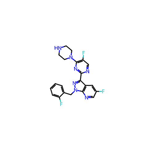 Fc1cnc2c(c1)c(-c1ncc(F)c(N3CCNCC3)n1)nn2Cc1ccccc1F